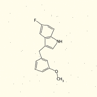 COc1cccc(Cc2c[nH]c3ccc(F)cc23)c1